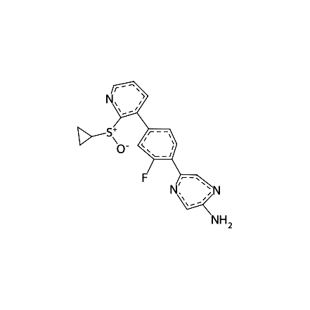 Nc1cnc(-c2ccc(-c3cccnc3[S+]([O-])C3CC3)cc2F)cn1